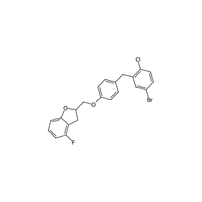 Fc1cccc2c1CC(COc1ccc(Cc3cc(Br)ccc3Cl)cc1)O2